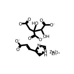 O=C([O-])C=Cc1c[nH]cn1.O=C([O-])CC(O)(C(=O)[O-])C(O)C(=O)[O-].[Zn+2].[Zn+2]